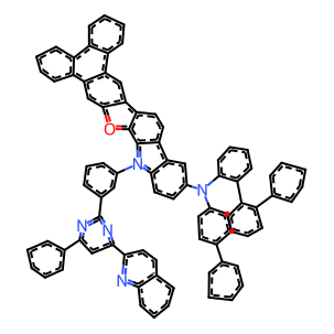 c1ccc(-c2ccc(N(c3ccc4c(c3)c3ccc5c6cc7c8ccccc8c8ccccc8c7cc6oc5c3n4-c3cccc(-c4nc(-c5ccccc5)cc(-c5ccc6ccccc6n5)n4)c3)c3ccccc3-c3ccccc3-c3ccccc3)cc2)cc1